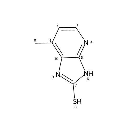 Cc1ccnc2[nH]c(S)nc12